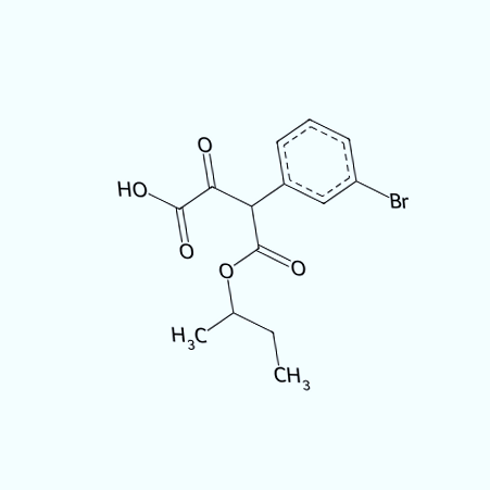 CCC(C)OC(=O)C(C(=O)C(=O)O)c1cccc(Br)c1